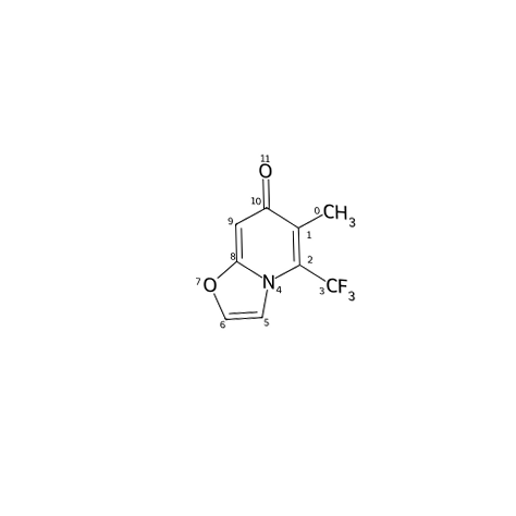 Cc1c(C(F)(F)F)n2ccoc2cc1=O